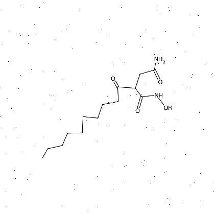 CCCCCCCCCC(=O)C(CC(N)=O)C(=O)NO